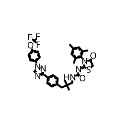 Cc1cc(C)c(N2C(=O)CS/C2=N\C(=O)NCC(C)(C)Cc2ccc(-c3ncn(-c4ccc(OC(F)(F)F)cc4)n3)cc2)c(C)c1